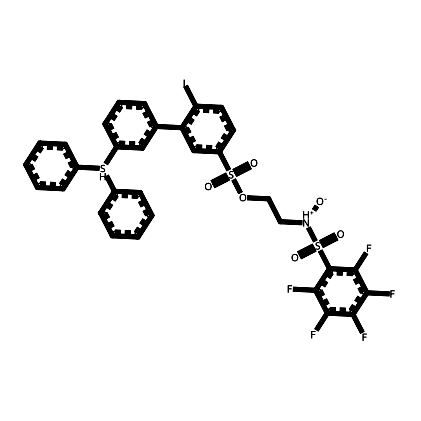 O=S(=O)(OCC[NH+]([O-])S(=O)(=O)c1c(F)c(F)c(F)c(F)c1F)c1ccc(I)c(-c2cccc([SH](c3ccccc3)c3ccccc3)c2)c1